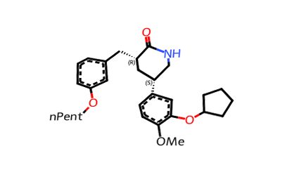 CCCCCOc1cccc(C[C@H]2C[C@@H](c3ccc(OC)c(OC4CCCC4)c3)CNC2=O)c1